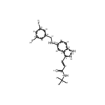 CC(C)(C)NC(=O)C=Cc1n[nH]c2ccc(NCc3cc(F)cc(F)c3)cc12